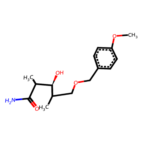 COc1ccc(COCC(C)[C@H](O)C(C)C(N)=O)cc1